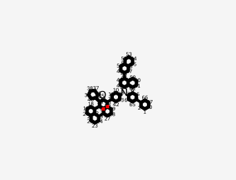 c1ccc(-c2ccc(N(c3ccc(-c4ccc(-c5cccc6cccc(-c7ccccc7)c56)c5c4oc4ccccc45)cc3)c3ccc(-c4ccc5ccccc5c4)c4ccccc34)cc2)cc1